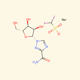 NC(=O)c1ncn([C@@H]2O[C@H](CO)[C@@H](O)[C@H]2O)n1.O=S(=O)([O-])C(I)I.[Na+]